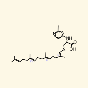 CC(C)=CCC/C(C)=C/CC/C(C)=C/CC/C(C)=C/SCC(Nc1ccnc(C)n1)C(=O)O